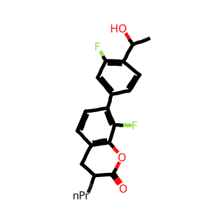 CCCC1Cc2ccc(-c3ccc(C(C)O)c(F)c3)c(F)c2OC1=O